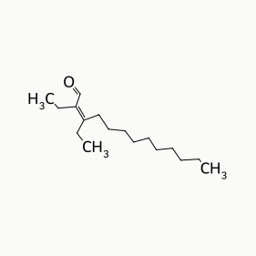 CCCCCCCCCC/C(CC)=C(\C=O)CC